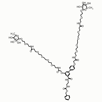 C[C@@H]1O[C@@H](OCCOCCNC(=O)CCOCCOCCOCCOCCNC(=O)COc2ccc(-c3cc(OCC(=O)NCCOCCOCCOCCOCCC(=O)NCCOCCO[C@@H]4O[C@@H](C)[C@H](O)[C@@H](O)[C@H]4O)cc(C(=O)NCCNC(=O)OCc4ccccc4)c3)cc2)[C@H](O)[C@H](O)[C@H]1O